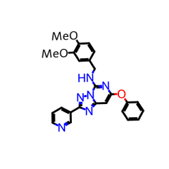 COc1ccc(CNc2nc(Oc3ccccc3)cc3nc(-c4cccnc4)nn23)cc1OC